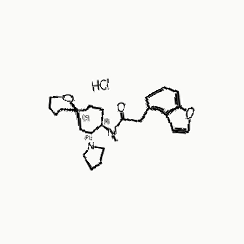 CN(C(=O)Cc1cccc2occc12)[C@@H]1CC[C@]2(CCCO2)C[C@H]1N1CCCC1.Cl